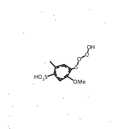 COc1cc(S(=O)(=O)O)c(C)cc1SOOO